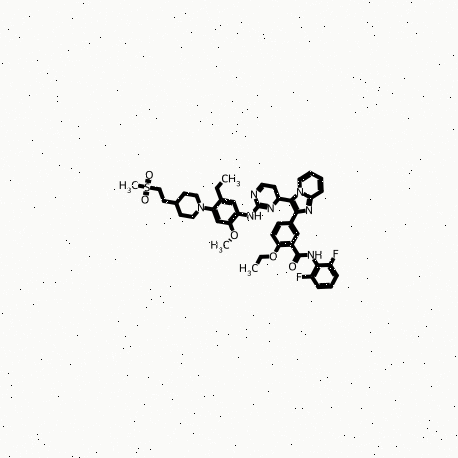 CCOc1ccc(-c2nc3ccccn3c2C2CC=NC(Nc3cc(CC)c(N4CCC(CCS(C)(=O)=O)CC4)cc3OC)=N2)cc1C(=O)Nc1c(F)cccc1F